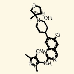 Cc1nn(C)c(Nc2ncc3cc(Cl)c(C4CCN([C@]5(C)COC[C@@H]5O)CC4)cc3n2)c1C#N